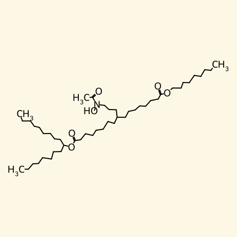 CCCCCCCCCOC(=O)CCCCCCCC(CCCCCCCC(=O)OC(CCCCCCCC)CCCCCCCCC)CCCN(O)C(C)=O